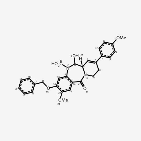 COc1ccc(C2=C[C@H]3C(O)N(C(=O)O)c4cc(OCc5ccccc5)c(OC)cc4C(=O)N3CC2)cc1